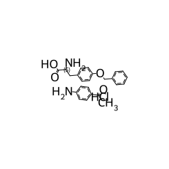 CC(=O)c1ccc(N)cc1.Cl.N[C@@H](Cc1ccc(OCc2ccccc2)cc1)C(=O)O